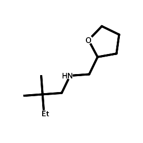 CCC(C)(C)CNCC1CCCO1